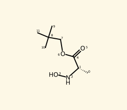 C[C@H](NO)C(=O)OCC(C)(C)C